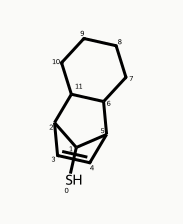 SC1C2C=CC1C1CCCCC21